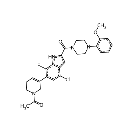 COc1ccccc1N1CCN(C(=O)c2cc3c(Cl)cc(C4=CCCN(C(C)=O)C4)c(F)c3[nH]2)CC1